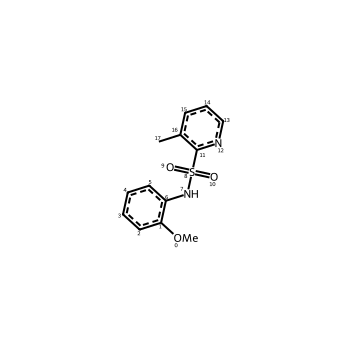 COc1ccccc1NS(=O)(=O)c1ncccc1C